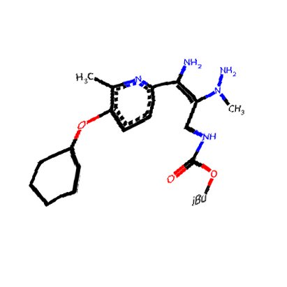 CCC(C)OC(=O)NC/C(=C(/N)c1ccc(OC2CCCCC2)c(C)n1)N(C)N